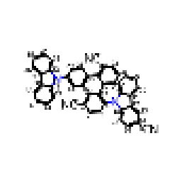 N#Cc1ccc(-n2c3ccccc3c3cc(C#N)ccc32)c(-c2cccc(C#N)c2-c2ccc(-n3c4ccccc4c4ccccc43)cc2)c1